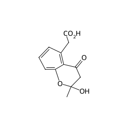 CC1(O)CC(=O)c2c(CC(=O)O)cccc2O1